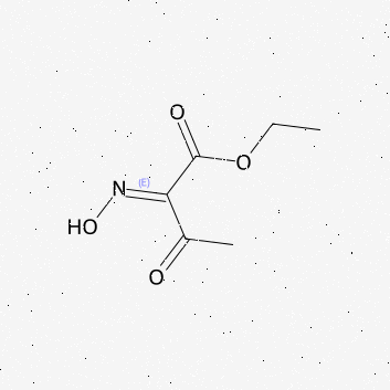 CCOC(=O)/C(=N/O)C(C)=O